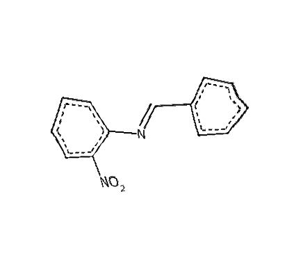 O=[N+]([O-])c1ccccc1N=Cc1ccccc1